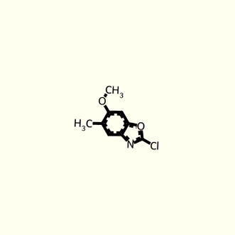 COc1cc2oc(Cl)nc2cc1C